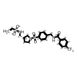 C=CS(=O)(=O)NC[C@H]1CCN(S(=O)(=O)c2ccc(CNC(=O)c3ccc(C(F)(F)F)cc3)cc2)C1